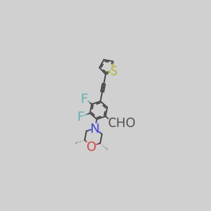 C[C@@H]1CN(c2c(C=O)cc(C#Cc3cccs3)c(F)c2F)C[C@H](C)O1